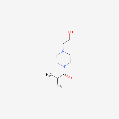 CC(C)C(=O)N1CCN(CCO)CC1